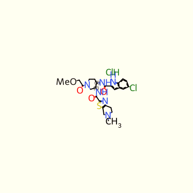 COCC(=O)N1CC[C@@H](NC(=O)c2cc3cc(Cl)ccc3[nH]2)[C@H](NC(=O)c2nc3c(s2)CN(C)CC3)C1.Cl